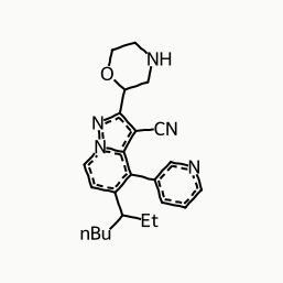 CCCCC(CC)c1ccn2nc(C3CNCCO3)c(C#N)c2c1-c1cccnc1